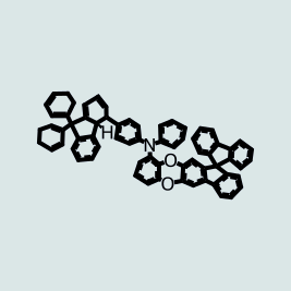 C1=CCCC(C2(C3=CCCC=C3)C3=CC=CC(c4ccc(N(c5ccccc5)c5cccc6c5Oc5cc7c(cc5O6)-c5ccccc5C75c6ccccc6-c6ccccc65)cc4)[C@@H]3c3ccccc32)=C1